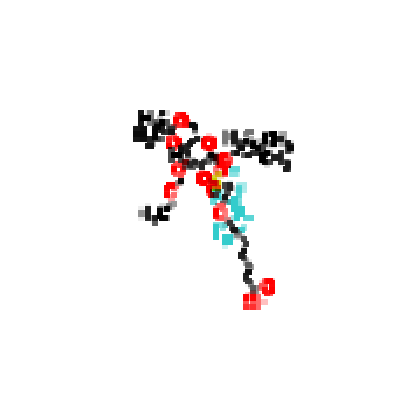 CCOCO[C@@H]1C(OS(=O)(=O)C(F)(F)C(F)(F)OC(F)(F)C(F)(F)CCCCC(=O)O)[C@H](OCC[Si](C)(C)C)OC2COC(C)(C)O[C@H]21